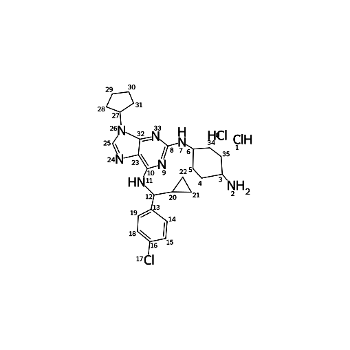 Cl.Cl.NC1CCC(Nc2nc(NC(c3ccc(Cl)cc3)C3CC3)c3ncn(C4CCCC4)c3n2)CC1